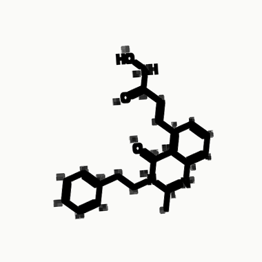 Cc1nc2cccc(/C=C/C(=O)NO)c2c(=O)n1CCc1ccccc1